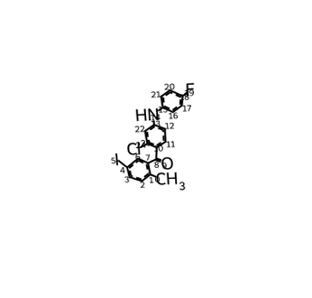 Cc1ccc(I)cc1C(=O)c1ccc(Nc2ccc(F)cc2)cc1Cl